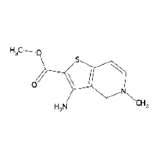 COC(=O)c1sc2c(c1N)CN(C)C=C2